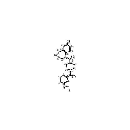 O=C(c1cccc(C(F)(F)F)c1)N1CCC(C(=O)N2CCCCc3cc(Cl)ccc32)CC1